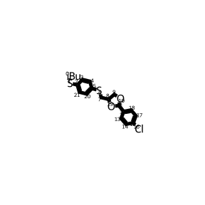 CCC(C)Sc1ccc(SCC2COC(c3ccc(Cl)cc3)O2)cc1